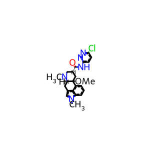 COC12C[C@@H](C(=O)Nc3ccc(Cl)nn3)CN(C)[C@@H]1Cc1cn(C)c3cccc2c13